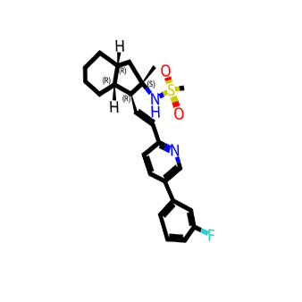 C[C@]1(NS(C)(=O)=O)C[C@H]2CCCC[C@H]2[C@@H]1C=Cc1ccc(-c2cccc(F)c2)cn1